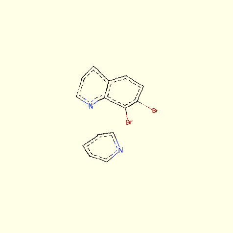 Brc1ccc2cccnc2c1Br.c1ccncc1